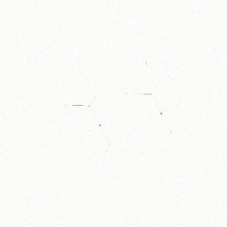 CC(C)(CO)C(O)C(=O)[O-].CC(C)(CO)C(O)C(=O)[O-].[Ba+2]